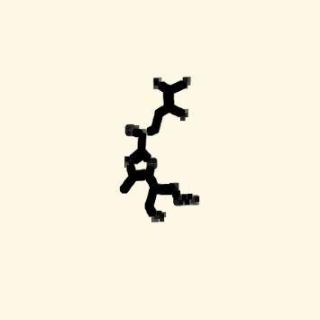 CON=C(CC(C)C)c1oc([S+]([O-])CCC(F)=C(F)F)nc1C